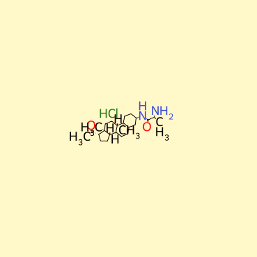 CC(=O)[C@H]1CC[C@H]2[C@@H]3CC=C4CC(NC(=O)[C@H](C)N)CC[C@]4(C)[C@H]3CC[C@]12C.Cl